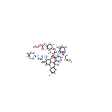 Cc1c(-c2c(-c3ccc(F)cc3)sc3ncnc(O[C@H](Cc4cc(CC(=O)OC(C)(C)C)ccc4OCc4ccnc(OCCC(F)(F)F)n4)C(=O)O)c23)ccc(CNCCN2CCC(F)(F)CC2)c1Cl